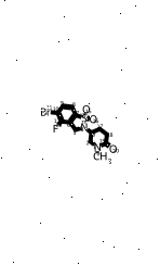 CN1CC(N2Cc3c(ccc(Br)c3F)S2(=O)=O)CCC1=O